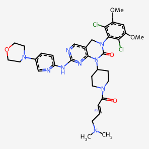 COc1cc(OC)c(Cl)c(N2Cc3cnc(Nc4ccc(N5CCOCC5)cn4)nc3N(C3CCN(C(=O)/C=C/CN(C)C)CC3)C2=O)c1Cl